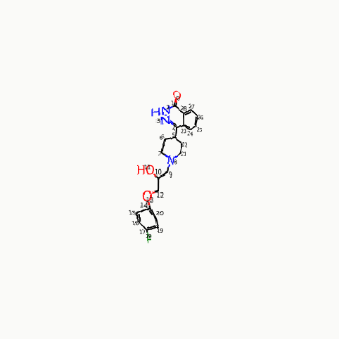 O=c1[nH]nc(C2CCN(CC(O)COc3ccc(F)cc3)CC2)c2ccccc12